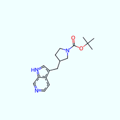 CC(C)(C)OC(=O)N1CCC(Cc2c[nH]c3cnccc23)C1